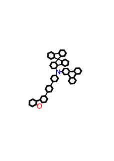 c1ccc2c(c1)-c1ccccc1C21c2ccccc2-c2c(N(c3ccc(-c4ccc(-c5ccc6oc7ccccc7c6c5)cc4)cc3)c3ccc4c5ccccc5c5ccccc5c4c3)cccc21